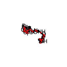 CN(CCN1CCC(N(C(=O)O)c2ccccc2-c2ccccc2)CC1)C(=O)CCCCCNc1ccc(C(=O)N(C)CCCN(C)C(=O)CO[C@H]2Cc3ccccc3C23CCN(CC[C@]2(c4ccc(F)cc4)CN(C(=O)c4cc(C(F)(F)F)cc(C(F)(F)F)c4)CCO2)CC3)cc1